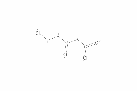 O=C(Cl)CC(=O)CCCl